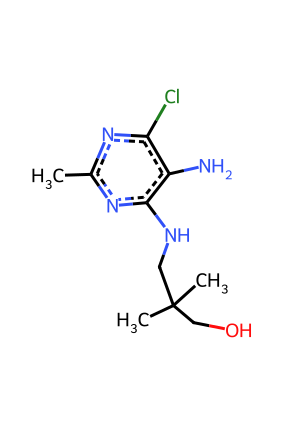 Cc1nc(Cl)c(N)c(NCC(C)(C)CO)n1